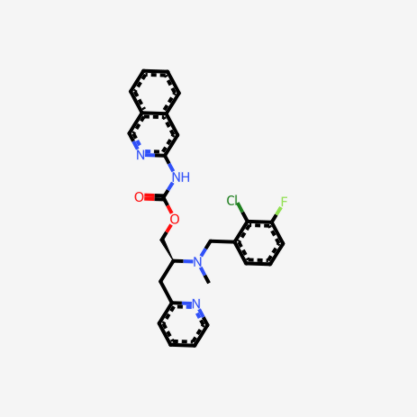 CN(Cc1cccc(F)c1Cl)[C@H](COC(=O)Nc1cc2ccccc2cn1)Cc1ccccn1